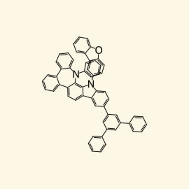 c1ccc(-c2cc(-c3ccccc3)cc(-c3ccc4c(c3)c3ccc5c(c3n4-c3ccc4oc6ccccc6c4c3)N(c3ccccc3)c3ccccc3-c3ccccc3-5)c2)cc1